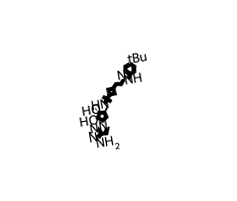 CC(C)(C)c1ccc2[nH]c(CCC3CC(C(C)(C)NC[C@H]4C[C@@H](n5ccc6c(N)ncnc65)[C@H](O)[C@@H]4O)C3)nc2c1